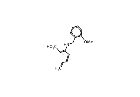 C=C/C=C\C(=C\C(=O)O)NCc1ccccc1OC